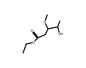 CCOC(=O)CC(OC)C(C)O